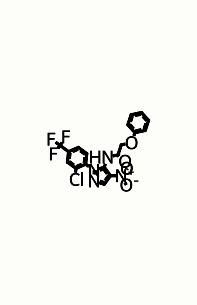 O=C(COc1ccccc1)Nc1c([N+](=O)[O-])cnn1-c1ccc(C(F)(F)F)cc1Cl